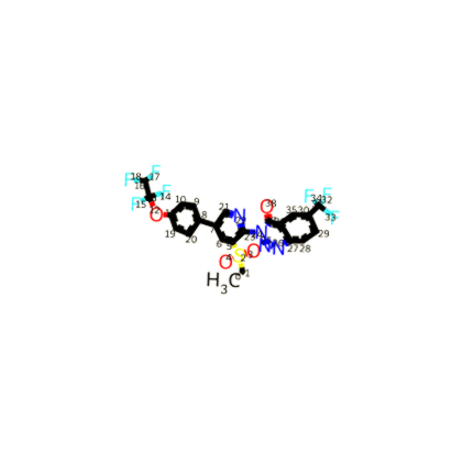 CCS(=O)(=O)c1cc(-c2ccc(OC(F)(F)C(F)F)cc2)cnc1-n1nnc2ccc(C(F)(F)F)cc2c1=O